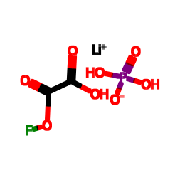 O=C(O)C(=O)OF.O=P([O-])(O)O.[Li+]